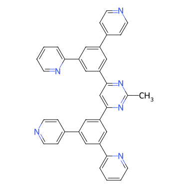 Cc1nc(-c2cc(-c3ccncc3)cc(-c3ccccn3)c2)cc(-c2cc(-c3ccncc3)cc(-c3ccccn3)c2)n1